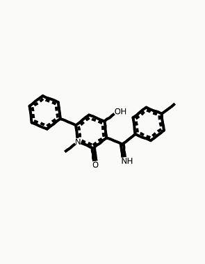 Cc1ccc(C(=N)c2c(O)cc(-c3ccccc3)n(C)c2=O)cc1